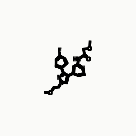 COCCn1cc(-c2ccnc(NC(=O)COC)c2)c(-c2ccc(F)cc2)n1